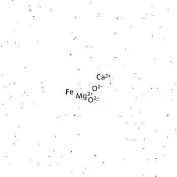 [Ca+2].[Fe].[Mg+2].[O-2].[O-2]